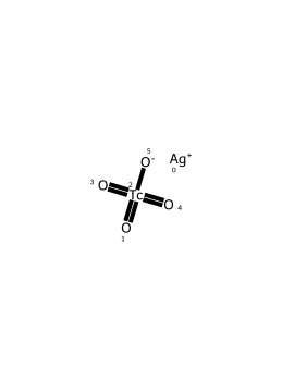 [Ag+].[O]=[Tc](=[O])(=[O])[O-]